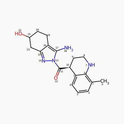 Cc1cccc2c1NCC[C@@H]2C(=O)n1nc2c(c1N)CCC(O)C2